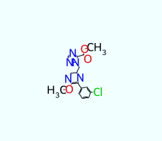 COC(=O)c1ncnn1Cc1cnc(OC)c(-c2cccc(Cl)c2)n1